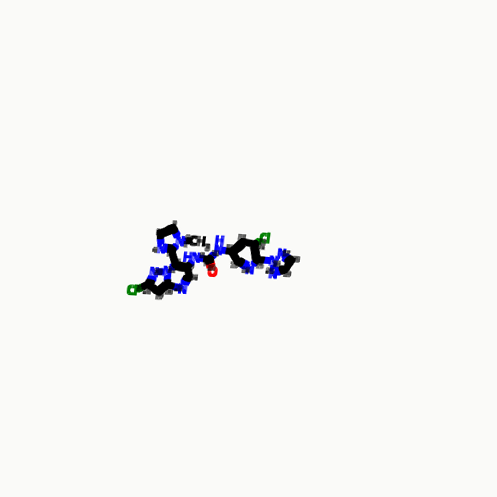 Cn1ccnc1-c1c(NC(=O)Nc2cnc(-n3nccn3)c(Cl)c2)cnc2cc(Cl)nn12